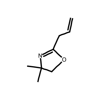 C=CCC1=NC(C)(C)CO1